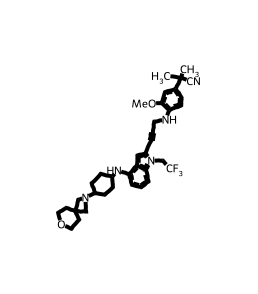 COc1cc(C(C)(C)C#N)ccc1NCC#Cc1cc2c(NC3CCC(N4CC5(CCOCC5)C4)CC3)cccc2n1CC(F)(F)F